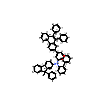 CC1(c2ccccc2)c2ccccc2-c2ccc(N(c3cccc(-c4ccc5c(c4)c(-c4ccccc4)c(-c4ccccc4)c4ccccc45)c3)c3ccccc3-c3ccccc3)cc21